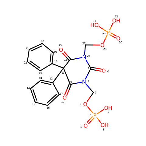 O=C1N(COP(=O)(O)O)C(=O)C(c2ccccc2)(c2ccccc2)C(=O)N1COP(=O)(O)O